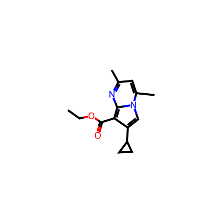 CCOC(=O)c1c(C2CC2)cn2c(C)cc(C)nc12